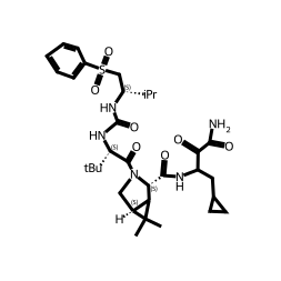 CC(C)[C@@H](CS(=O)(=O)c1ccccc1)NC(=O)N[C@H](C(=O)N1C[C@H]2C([C@H]1C(=O)NC(CC1CC1)C(=O)C(N)=O)C2(C)C)C(C)(C)C